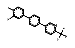 Cc1ccc(-c2ccc(-c3ccc(C(F)(F)F)nc3)cc2)cc1F